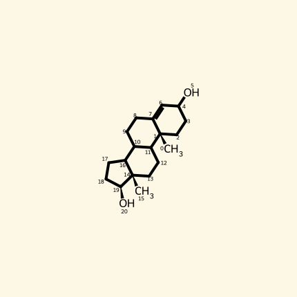 C[C@]12CCC(O)C=C1CCC1C2CC[C@@]2(C)C1CC[C@@H]2O